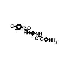 N[C@H]1C[C@H](OCC(=O)NC23CC(NC(=O)COc4ccc(Cl)c(F)c4)(C2)C3)C1